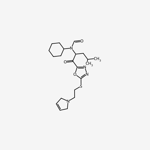 CC(C)CC(C(=O)c1nnc(SCCN2CC=CC2)o1)N(C=O)C1CCCCC1